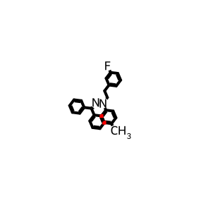 Cc1ccc(N(CCc2cccc(F)c2)N=C(c2ccccc2)c2ccccc2)cc1